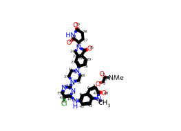 CNC(=O)COc1cc2cc(Nc3nc(N4CCN(c5ccc6c(c5)CN([C@@H]5CCC(=O)NC5=O)C6=O)CC4)ncc3Cl)ccc2n(C)c1=O